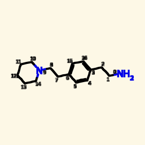 NCCc1ccc(CCN2CC[CH]CC2)cc1